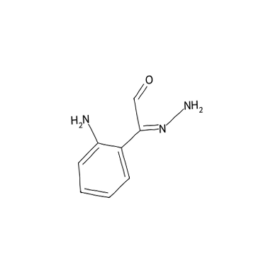 N/N=C(\C=O)c1ccccc1N